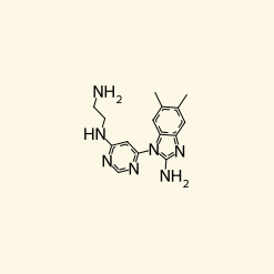 Cc1cc2nc(N)n(-c3cc(NCCN)ncn3)c2cc1C